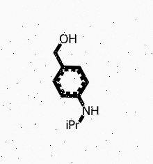 CC(C)Nc1ccc(CO)cc1